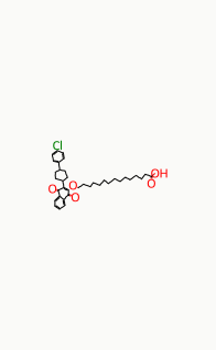 O=C(O)CCCCCCCCCCCCCCOC1=C(C2CCC(c3ccc(Cl)cc3)CC2)C(=O)c2ccccc2C1=O